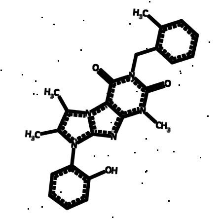 Cc1ccccc1Cn1c(=O)c2c(nc3n(-c4ccccc4O)c(C)c(C)n23)n(C)c1=O